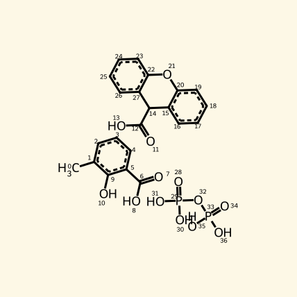 Cc1cccc(C(=O)O)c1O.O=C(O)C1c2ccccc2Oc2ccccc21.O=P(O)(O)OP(=O)(O)O